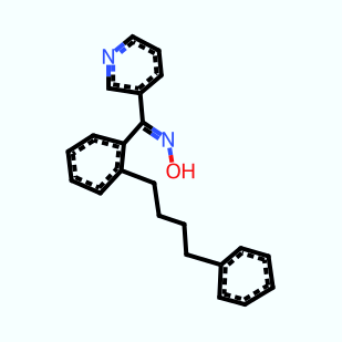 ON=C(c1cccnc1)c1ccccc1CCCCc1ccccc1